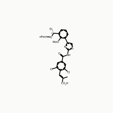 CCCCCO[C@H](CC)c1cccc(-c2csc(NC(=O)c3cc(Cl)c(C=C(C)C(=O)O)c(Cl)c3)n2)c1OC